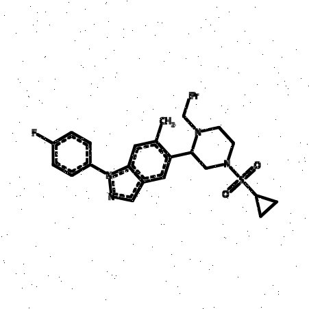 Cc1cc2c(cnn2-c2ccc(F)cc2)cc1C1CN(S(=O)(=O)C2CC2)CCN1CC(C)C